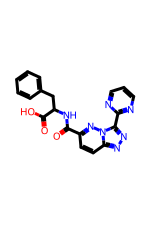 O=C(NC(Cc1ccccc1)C(=O)O)c1ccc2nnc(-c3ncccn3)n2n1